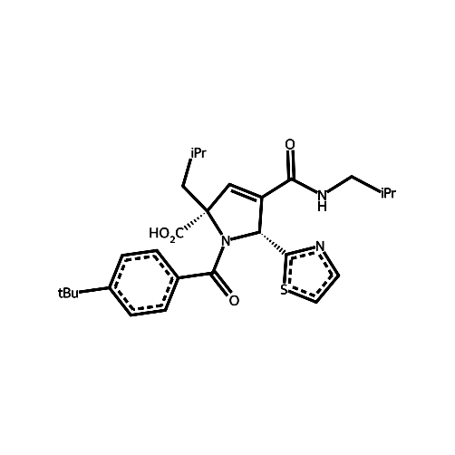 CC(C)CNC(=O)C1=C[C@@](CC(C)C)(C(=O)O)N(C(=O)c2ccc(C(C)(C)C)cc2)[C@H]1c1nccs1